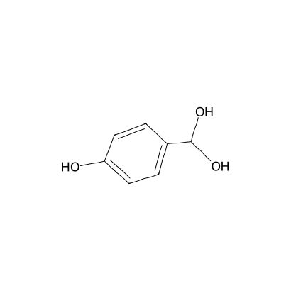 Oc1ccc(C(O)O)cc1